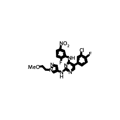 COCCn1cc(Nc2ncc(-c3ccc(F)c(Cl)c3)c(Nc3cc([N+](=O)[O-])ccc3F)n2)cn1